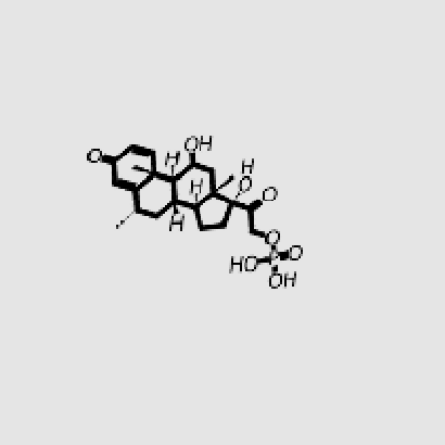 C[C@H]1C[C@@H]2[C@H](C(O)C[C@@]3(C)[C@H]2CC[C@]3(O)C(=O)COP(=O)(O)O)[C@@]2(C)C=CC(=O)C=C12